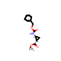 COC(=O)[C@H]1C[C@H]1NC(=O)OCc1ccccc1